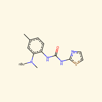 CCCCN(C)c1cc(C)ccc1NC(=O)Nc1nccs1